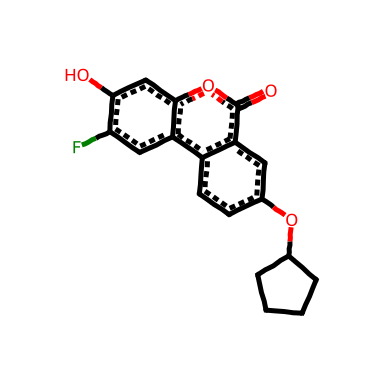 O=c1oc2cc(O)c(F)cc2c2ccc(OC3CCCC3)cc12